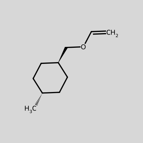 C=COC[C@H]1CC[C@H](C)CC1